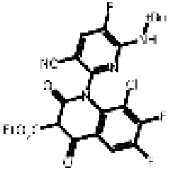 CCOC(=O)C1C(=O)c2cc(F)c(F)c(Cl)c2N(c2nc(NC(C)(C)C)c(F)cc2C#N)C1=O